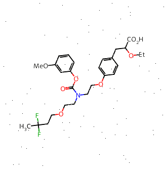 CCOC(Cc1ccc(OCCN(CCOCCC(C)(F)F)C(=O)Oc2cccc(OC)c2)cc1)C(=O)O